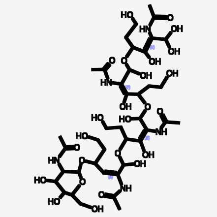 CC(=O)N/C(=C(\O)C(CCO)OC(O)/C(NC(C)=O)=C(/O)C(CCO)OC(O)/C(=C\C(CCO)OC1OC(CO)C(O)C(O)C1NC(C)=O)NC(C)=O)C(O)OC(CCO)/C(O)=C(\NC(C)=O)C(O)O